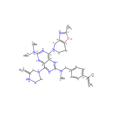 C=C1CN(c2nc(N(CCCC)Cc3ccc(C(=C)Cl)cc3)nc3c(N4CCc5oc(C)nc5C4)nc(N(CCCC)CCCC)nc23)CCN1